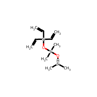 C=C[Si](C=C)(C=C)O[Si](C)(C)O[SiH](C)C